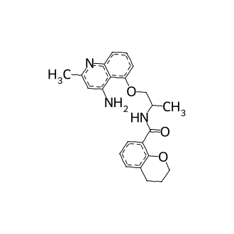 Cc1cc(N)c2c(OCC(C)NC(=O)c3cccc4c3OCCC4)cccc2n1